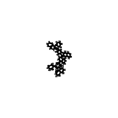 C1=CC2=C(CC1)CCc1c2c2ccccc2n1-c1ccc2c(c1)c1cc3ccccc3cc1n2-c1ccc(C2=NC(c3ccccc3)NC(c3cccc4c3C=CCC4)N2)c2c1CCC=C2